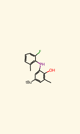 Cc1cc(C(C)(C)C)cc(Pc2c(C)cccc2F)c1O